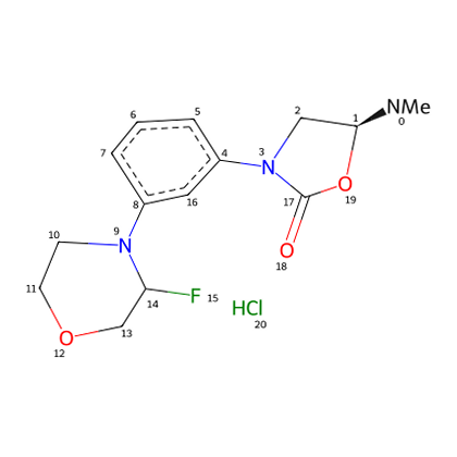 CN[C@@H]1CN(c2cccc(N3CCOCC3F)c2)C(=O)O1.Cl